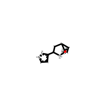 c1cc(C2CC3CC[N@@]2C32CCNC2)sn1